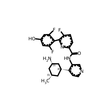 C[C@@H]1C[C@H](N)C[C@H](c2ccncc2NC(=O)c2ccc(F)c(-c3c(F)cc(O)cc3F)n2)C1